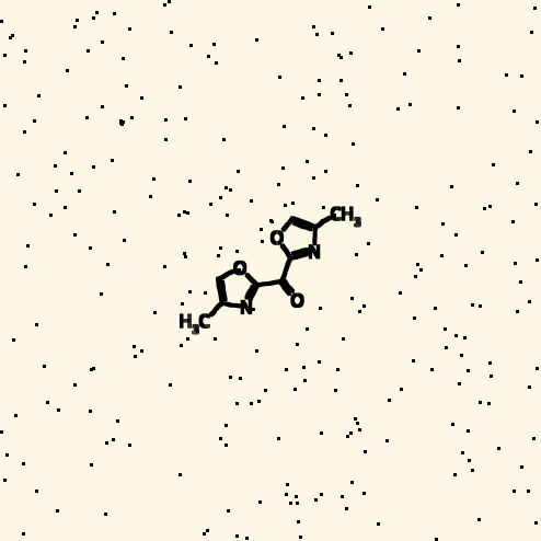 Cc1coc(C(=O)c2nc(C)co2)n1